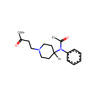 CCC(=O)N(c1ccccc1)C1(C(C)=O)CCN(CCC(=O)OC)CC1